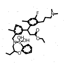 CCOC(=O)CC(c1ccc(C)c(CN2CC(CC)Oc3ccccc3S2(O)O)c1)c1cc(CCCN(C)C)c(F)cc1C